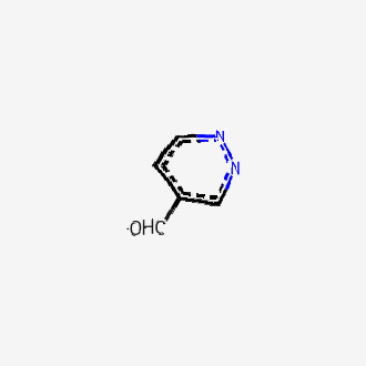 O=[C]c1ccnnc1